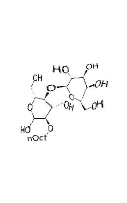 CCCCCCCCO[C@H]1C(O)O[C@H](CO)[C@@H](O[C@@H]2O[C@H](CO)[C@H](O)[C@H](O)[C@H]2O)[C@@H]1O